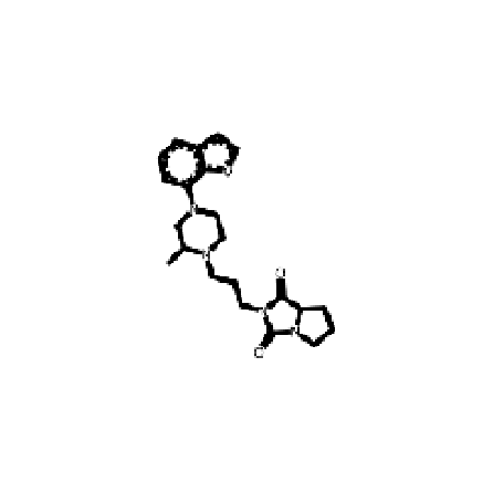 CC1CN(c2cccc3ccoc23)CCN1CCCN1C(=O)C2CCCN2C1=O